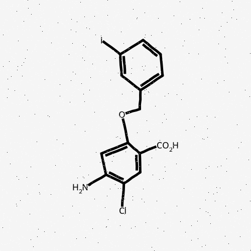 Nc1cc(OCc2cccc(I)c2)c(C(=O)O)cc1Cl